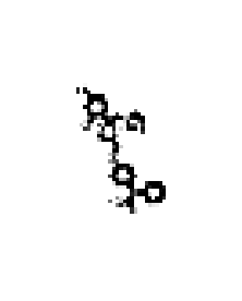 O=C(O)N(c1ccccc1)c1ccc(SCC2COC(Cn3ccnc3)(c3ccc(Cl)cc3Cl)O2)cc1